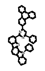 c1ccc(-c2cc(-c3ccc4c5ccccc5c5ccccc5c4c3)nc(-c3cccc4c3sc3c4ccc4c5ccccc5n(-c5ccccc5)c43)n2)cc1